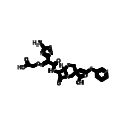 Nc1nc(C(=NOCC(=O)O)C(=O)NC2C(=O)N3CC(C=CSc4cccnc4)(C(=O)O)CS[C@H]23)ns1